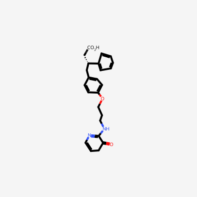 O=C(O)C[C@@H](Cc1ccc(OCCCNC2=NC=CCC2=O)cc1)c1ccccc1